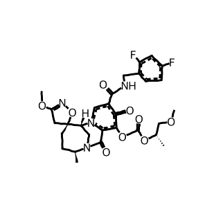 COC[C@H](C)OC(=O)Oc1c2n(cc(C(=O)NCc3ccc(F)cc3F)c1=O)[C@@H]1CN(C2=O)[C@@H](C)CC[C@]12CC(OC)=NO2